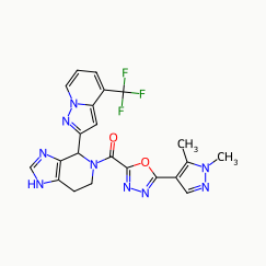 Cc1c(-c2nnc(C(=O)N3CCc4[nH]cnc4C3c3cc4c(C(F)(F)F)cccn4n3)o2)cnn1C